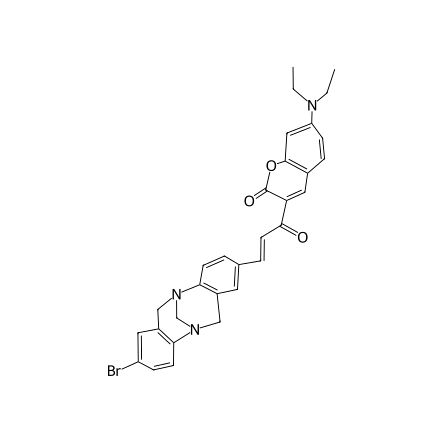 CCN(CC)c1ccc2cc(C(=O)/C=C/c3ccc4c(c3)CN3CN4Cc4cc(Br)ccc43)c(=O)oc2c1